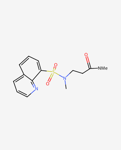 CNC(=O)CCN(C)S(=O)(=O)c1cccc2cccnc12